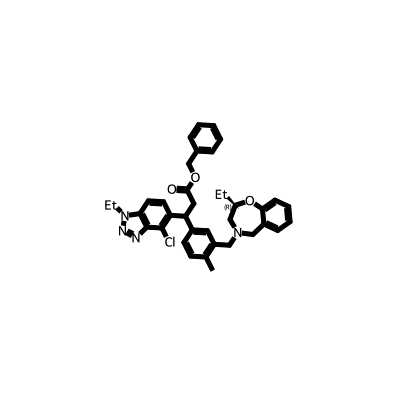 CC[C@@H]1CN(Cc2cc(C(CC(=O)OCc3ccccc3)c3ccc4c(nnn4CC)c3Cl)ccc2C)Cc2ccccc2O1